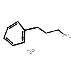 NCCCc1ccccc1.O